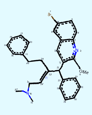 COc1nc2ccc(Br)cc2cc1C(/C(=C/CN(C)C)CCc1ccccc1)c1ccccc1